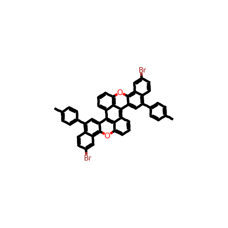 Cc1ccc(-c2cc3c(oc4cccc5c4c3c3cccc4oc6c7cc(Br)ccc7c(-c7ccc(C)cc7)cc6c5c43)c3cc(Br)ccc23)cc1